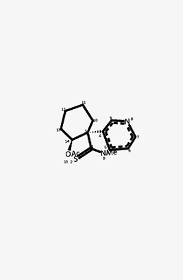 CNC(=S)[C@]1(c2cccnc2)CCCC[C@@H]1OC(C)=O